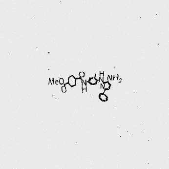 COC(=O)C1CCC(C(=O)Nc2ccc(Nc3nc(-c4ccccc4)ccc3N)c(C)c2)CC1